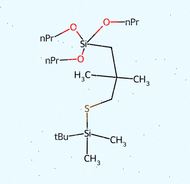 CCCO[Si](CC(C)(C)CS[Si](C)(C)C(C)(C)C)(OCCC)OCCC